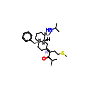 CSCC/C(C(=O)C(C)C)=C1/CC[C@@]2(Cc3ccccc3)CCC[C@H](CNC(C)C)[C@@H]2C1